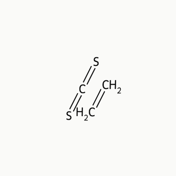 C=C.S=C=S